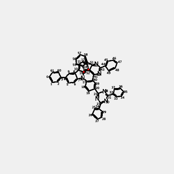 c1ccc(-c2ccc3c(c2)c2ccccc2n3-c2ccc(-c3nc(-c4ccccc4)nc(-c4ccccc4)n3)cc2-c2nc(-c3ccccc3)nc3c2sc2ccccc23)cc1